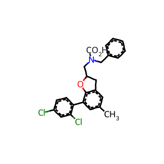 Cc1cc2c(c(-c3ccc(Cl)cc3Cl)c1)OC(CN(Cc1ccccc1)C(=O)O)C2